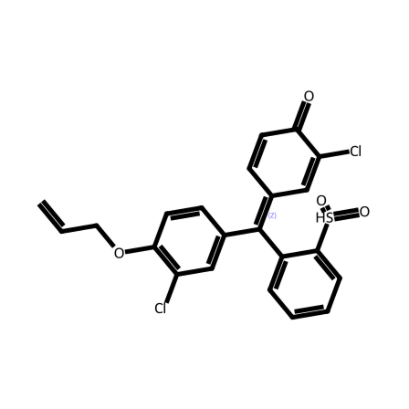 C=CCOc1ccc(/C(=C2\C=CC(=O)C(Cl)=C2)c2ccccc2[SH](=O)=O)cc1Cl